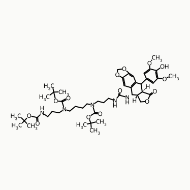 COc1cc(C2c3cc4c(cc3[C@@H](NC(=O)NCCCN(CCCCN(CCCNC(=O)OC(C)(C)C)C(=O)OC(C)(C)C)C(=O)OC(C)(C)C)[C@H]3COC(=O)[C@H]23)OCO4)cc(OC)c1O